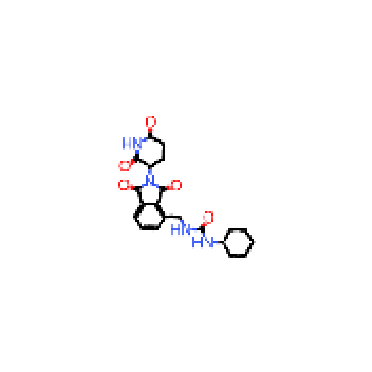 O=C1CCC(N2C(=O)c3cccc(CNC(=O)NC4CCCCC4)c3C2=O)C(=O)N1